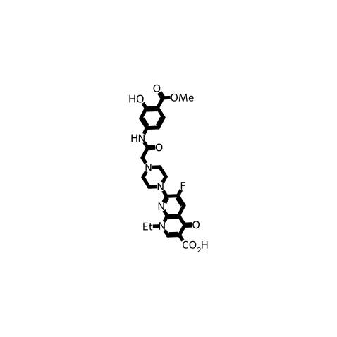 CCn1cc(C(=O)O)c(=O)c2cc(F)c(N3CCN(CC(=O)Nc4ccc(C(=O)OC)c(O)c4)CC3)nc21